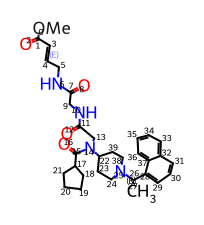 COC(=O)/C=C/CNC(=O)CNC(=O)CN(C(=O)C1CCCC1)C1CCN([C@H](C)c2cccc3ccccc23)CC1